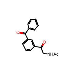 CC(=O)NCC(=O)c1cccc(C(=O)c2ccccc2)c1